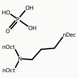 CCCCCCCCCCCCCN(CCCCCCCC)CCCCCCCC.O=P(O)(O)O